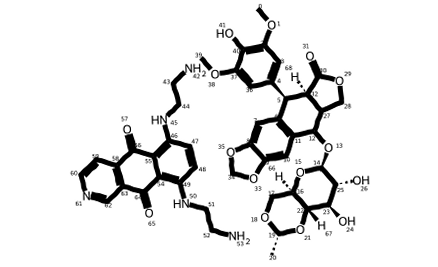 COc1cc([C@@H]2c3cc4c(cc3C(O[C@@H]3O[C@@H]5CO[C@@H](C)O[C@H]5[C@H](O)[C@H]3O)C3COC(=O)[C@@H]32)OCO4)cc(OC)c1O.NCCNc1ccc(NCCN)c2c1C(=O)c1ccncc1C2=O